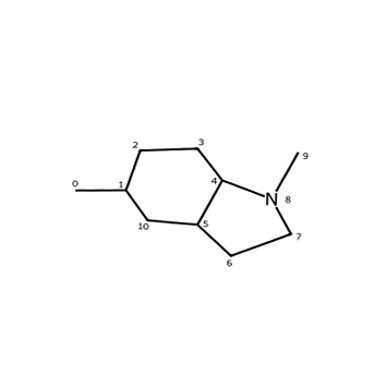 CC1CCC2C(CCN2C)C1